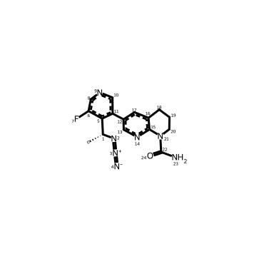 C[C@@H](N=[N+]=[N-])c1c(F)cncc1-c1cnc2c(c1)CCCN2C(N)=O